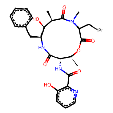 CC(C)CC1C(=O)O[C@H](C)[C@H](NC(=O)c2ncccc2O)C(=O)N[C@@H](Cc2ccccc2)[C@@H](O)[C@@H](C)C(=O)N1C